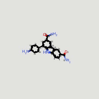 NC(=O)c1ccc2[nH]c3c(-c4ccc(N)cc4)cc(C(N)=O)cc3c2c1